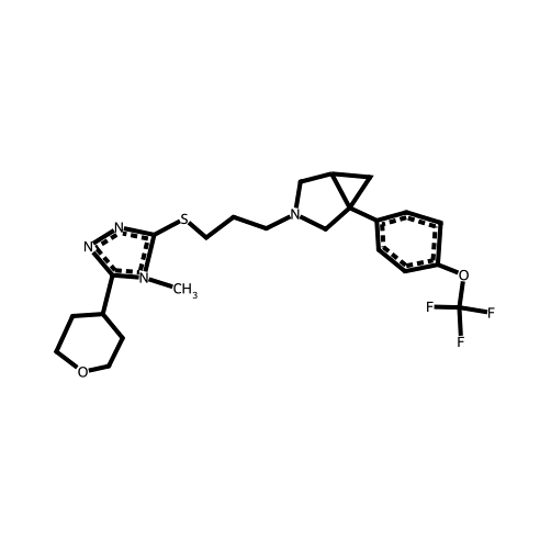 Cn1c(SCCCN2CC3CC3(c3ccc(OC(F)(F)F)cc3)C2)nnc1C1CCOCC1